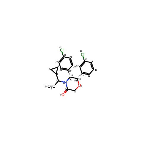 O=C(O)C(C1CC1)N1C(=O)CO[C@@H](c2cccc(Cl)c2)[C@H]1c1ccc(Cl)cc1